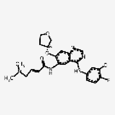 CN(C)CC=CC(=O)Nc1cc2c(Nc3ccc(F)c(Cl)c3)ncnc2cc1O[C@@H]1CCOC1